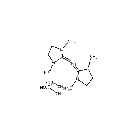 CC(=O)O.CC(=O)O.CN1CCN(C)[C]1=[Pd]=[C]1N(C)CCN1C